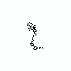 CNc1cccc(-c2cnn([C@H]3C[C@H](CCCNc4ccc5c(c4)C(=O)N(C4CCC(=O)NC4=O)C5=O)C3)c2)n1